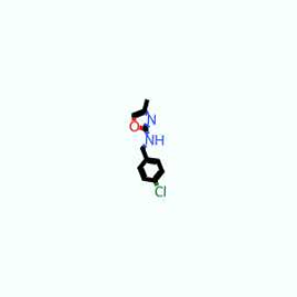 Cc1coc(NCc2ccc(Cl)cc2)n1